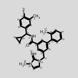 Cc1cc(C(NC(=O)c2cc(Cn3ccn(C)c3=N)cc(-c3ccccc3C)c2)C2CC2)ccc1F